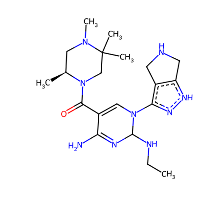 CCNC1N=C(N)C(C(=O)N2CC(C)(C)N(C)C[C@@H]2C)=CN1c1n[nH]c2c1CNC2